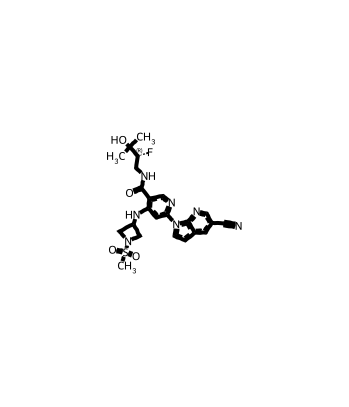 CC(C)(O)[C@H](F)CNC(=O)c1cnc(-n2ccc3cc(C#N)cnc32)cc1NC1CN(S(C)(=O)=O)C1